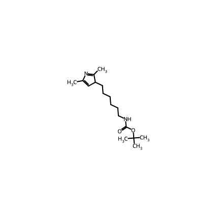 CC1=CC(CCCCCCNC(=O)OC(C)(C)C)C(C)=N1